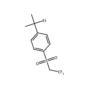 CCC(C)(C)c1ccc(S(=O)(=O)CC(F)(F)F)cc1